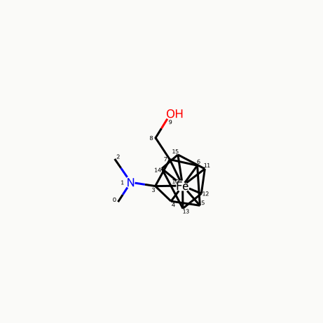 CN(C)[C]12[CH]3[CH]4[CH]5[C]1(CO)[Fe]45321678[CH]2[CH]1[CH]6[CH]7[CH]28